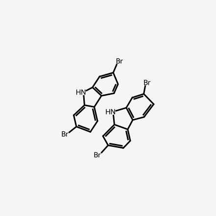 Brc1ccc2c(c1)[nH]c1cc(Br)ccc12.Brc1ccc2c(c1)[nH]c1cc(Br)ccc12